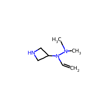 C=CN(C1CNC1)N(C)C